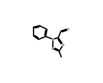 Cc1nc(C=O)n(-c2ccccc2)n1